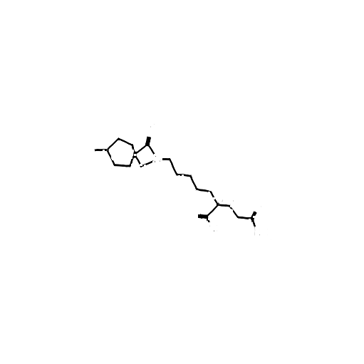 CC1CCC2(CC1)CN(CCCCCC(CCC(N)=O)C(N)=O)C2=O